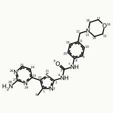 Cc1nc(NC(=O)Nc2ccc(CN3CCOCC3)cc2)sc1-c1ccnc(N)n1